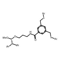 COP(OCCCNC(=O)c1cc(CSC(C)=O)cc(CSC(C)=O)c1)N(C(C)C)C(C)C